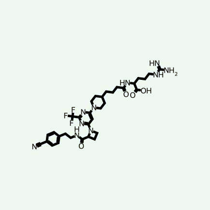 N#Cc1ccc(CCNC(=O)C2CCN2c2cc(N3CCC(CCCC(=O)NC(CCCNC(=N)N)C(=O)O)CC3)nc(C(F)(F)F)n2)cc1